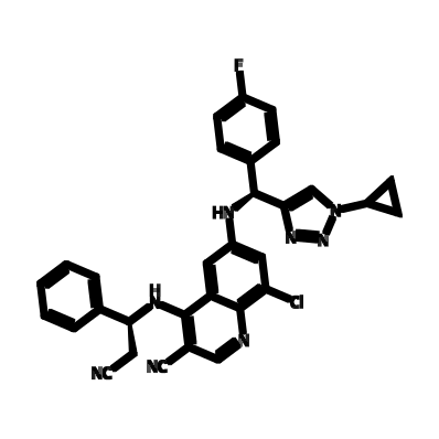 N#CC[C@H](Nc1c(C#N)cnc2c(Cl)cc(N[C@@H](c3ccc(F)cc3)c3cn(C4CC4)nn3)cc12)c1ccccc1